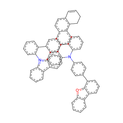 C1=Cc2ccc3cc(-c4ccccc4N(c4ccc(-c5cccc6c5oc5ccccc56)cc4)c4ccccc4-c4ccc(-c5ccccc5-n5c6ccccc6c6ccccc65)cc4)ccc3c2CC1